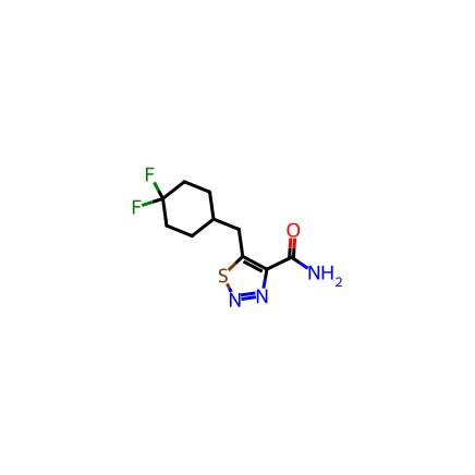 NC(=O)c1nnsc1CC1CCC(F)(F)CC1